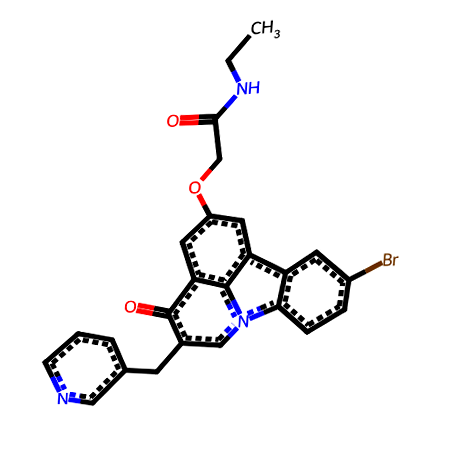 CCNC(=O)COc1cc2c(=O)c(Cc3cccnc3)cn3c4ccc(Br)cc4c(c1)c23